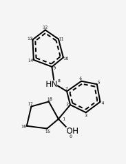 OC1(c2ccccc2Nc2ccccc2)CCCC1